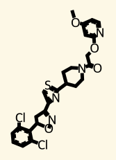 COc1ccnc(OCC(=O)N2CCC(c3nc(C4=NOC(c5c(Cl)cccc5Cl)C4)cs3)CC2)c1